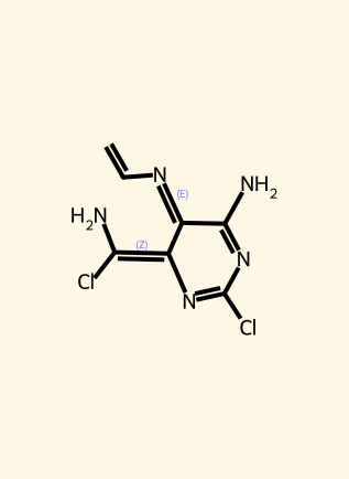 C=C/N=C1/C(N)=NC(Cl)=N/C1=C(/N)Cl